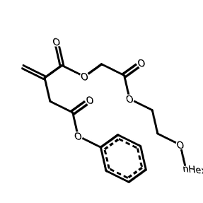 C=C(CC(=O)Oc1ccccc1)C(=O)OCC(=O)OCCOCCCCCC